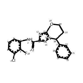 O=C(Nc1cccc(Cl)c1F)c1nc2n(n1)C(c1ccccc1)CCO2